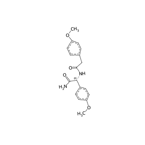 COc1ccc(CC(=O)N[C@@H](C(N)=O)c2ccc(OC)cc2)cc1